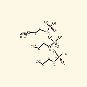 O=P([O-])([O-])OCCCl.O=P([O-])([O-])OCCCl.O=P([O-])([O-])OCCCl.[Al+3].[Al+3]